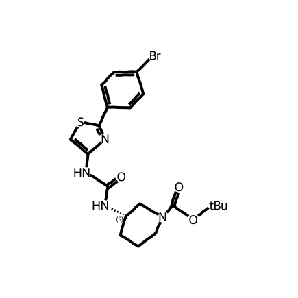 CC(C)(C)OC(=O)N1CCC[C@H](NC(=O)Nc2csc(-c3ccc(Br)cc3)n2)C1